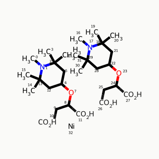 CN1C(C)(C)CC(OC(CC(=O)O)C(=O)O)CC1(C)C.CN1C(C)(C)CC(OC(CC(=O)O)C(=O)O)CC1(C)C.[Ni]